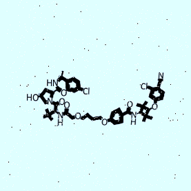 C[C@H](NC(=O)[C@@H]1C[C@@H](O)CN1C(=O)[C@@H](NC(=O)COCCCCOc1ccc(C(=O)N[C@H]2C(C)(C)[C@H](Oc3ccc(C#N)c(Cl)c3)C2(C)C)cc1)C(C)(C)C)c1ccc(Cl)cc1